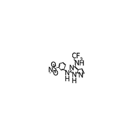 CN(C)S(=O)(=O)c1cccc(Nc2nc(NCC(F)(F)F)c3ccnc-3[nH]2)c1